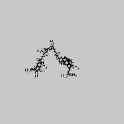 CCN(CCNCCOC1CC[C@@]2(C)C(=CC[C@H]3[C@@H]4CC[C@H]([C@H](C)CCCC(C)C)[C@@]4(C)CC[C@@H]32)C1)CCN(CC)CCNCCC(=O)NCC1OC(OC)[C@@H](O)[C@@H](O)[C@H]1C